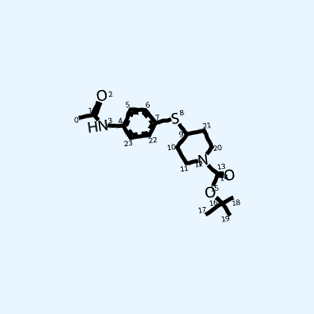 CC(=O)Nc1ccc(SC2CCN(C(=O)OC(C)(C)C)CC2)cc1